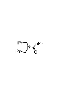 CC[CH]C(=O)N(CC(C)C)CC(C)C